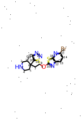 CC(C)C1CNCCC1(CCOc1nc2ccc(Br)nc2s1)c1cnns1